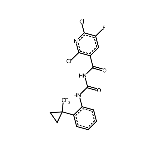 O=C(NC(=O)c1cc(F)c(Cl)nc1Cl)Nc1ccccc1C1(C(F)(F)F)CC1